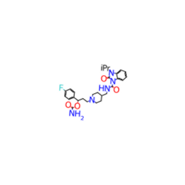 CC(C)n1c(=O)n(C(=O)NCC2CCN(CCC(OC(N)=O)c3ccc(F)cc3)CC2)c2ccccc21